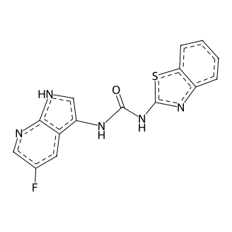 O=C(Nc1nc2ccccc2s1)Nc1c[nH]c2ncc(F)cc12